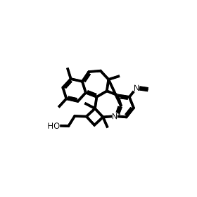 C=Nc1cc[n+]2c3c1C1C(=c4cc(C)cc(C)c4=CCC31C)C1(C)C(CCO)CC21C